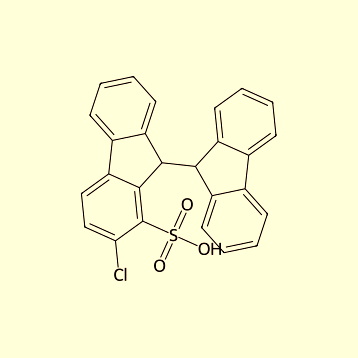 O=S(=O)(O)c1c(Cl)ccc2c1C(C1c3ccccc3-c3ccccc31)c1ccccc1-2